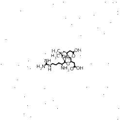 C[N+](C)(C)C[C@@H](CC(=O)O)OCC(CC(=O)O)OC(=O)[C@@H](N)CCCNC(=N)N